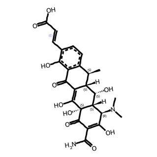 C[C@@H]1c2ccc(/C=C/C(=O)O)c(O)c2C(=O)C2=C(O)[C@]3(O)C(=O)C(C(N)=O)=C(O)[C@H](N(C)C)[C@H]3[C@@H](O)[C@H]21